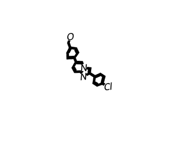 COCc1ccc(-c2ccc3nc(-c4ccc(Cl)cc4)cn3c2)cc1